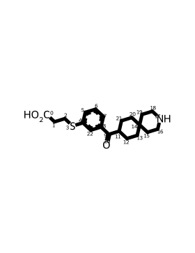 O=C(O)CCSc1cccc(C(=O)C2CCC3(CCNCC3)CC2)c1